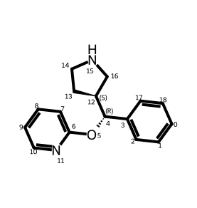 c1ccc([C@H](Oc2ccccn2)[C@H]2CCNC2)cc1